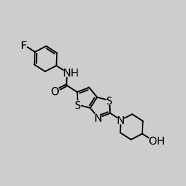 O=C(NC1C=CC(F)=CC1)c1cc2sc(N3CCC(O)CC3)nc2s1